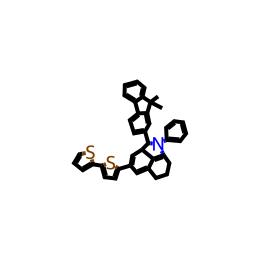 CC1(C)c2ccccc2-c2ccc(C3C4C=C(c5ccc(-c6cccs6)s5)C=C5CCCC(=C54)N3c3ccccc3)cc21